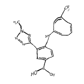 Cn1nnc(-c2cc(B(O)O)ccc2Nc2cccc(C(F)(F)F)c2)n1